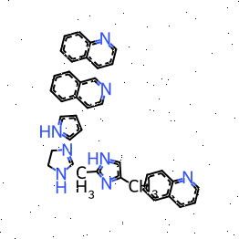 C1=NCCN1.Cc1c[nH]c(C)n1.c1cc[nH]c1.c1ccc2cnccc2c1.c1ccc2ncccc2c1.c1ccc2ncccc2c1